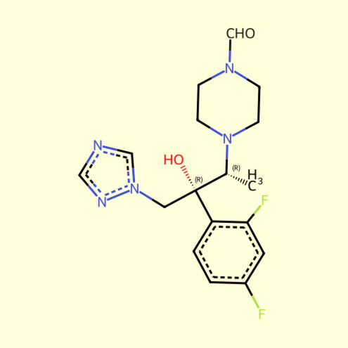 C[C@@H](N1CCN(C=O)CC1)[C@](O)(Cn1cncn1)c1ccc(F)cc1F